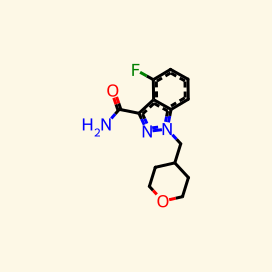 NC(=O)c1nn(CC2CCOCC2)c2cccc(F)c12